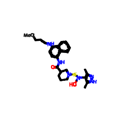 COCCCNc1ccc(NC(=O)C2CCCN(SN(O)c3c(C)n[nH]c3C)C2)c2ccccc12